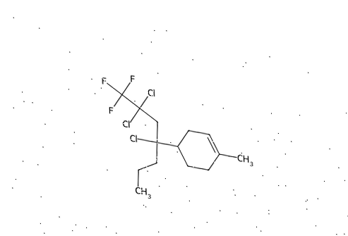 CCCC(Cl)(CC(Cl)(Cl)C(F)(F)F)C1CC=C(C)CC1